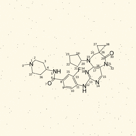 CN1CCC(NC(=O)c2ccc(Nc3ncc4c(n3)N(C3CCCC3)CC3(CC3)C(=O)N4C)c(F)c2)CC1